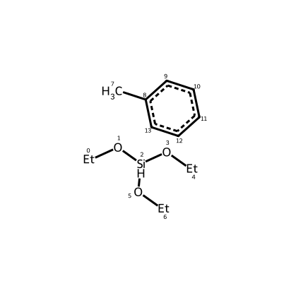 CCO[SiH](OCC)OCC.Cc1ccccc1